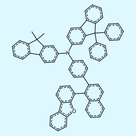 CC1(C)c2ccccc2-c2ccc(N(c3ccc(-c4ccc5ccccc5c4-c4cccc5c4oc4ccccc45)cc3)c3ccc4c(c3)C(c3ccccc3)(c3ccccc3)c3ccccc3-4)cc21